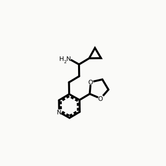 NC(CCc1cnccc1C1OCCO1)C1CC1